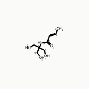 CC=CC(=O)NC(CO)(CO)CO